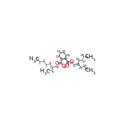 CCCCCC(CC)COC(=O)c1ccccc1C(=O)OCC(CCC)CCCC